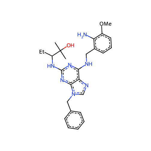 CCC(Nc1nc(NCc2cccc(OC)c2N)c2ncn(Cc3ccccc3)c2n1)C(C)(C)O